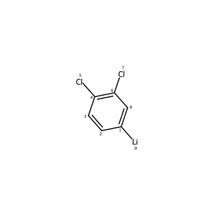 [Li][c]1ccc(Cl)c(Cl)c1